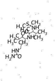 CSC(C)(C)NC(C(=O)NC(CCCNC(N)=O)C(=O)C(C)(C)C)C(C)C